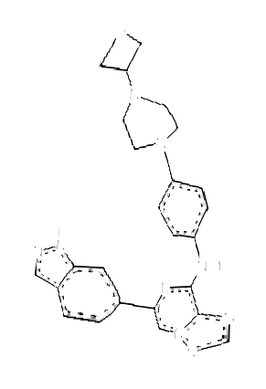 c1nc2c(Nc3ccc(N4CCN(C5COC5)CC4)cc3)nc(-c3ccc4cn[nH]c4c3)cn2n1